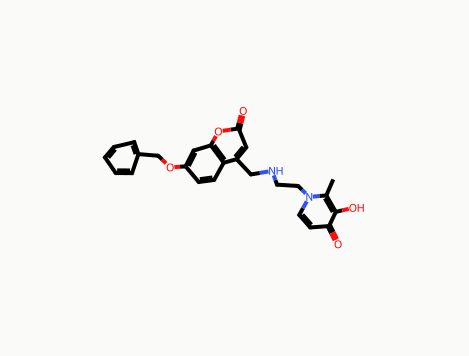 Cc1c(O)c(=O)ccn1CCNCc1cc(=O)oc2cc(OCc3ccccc3)ccc12